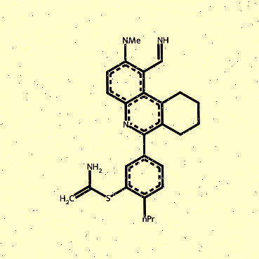 C=C(N)Sc1cc(-c2nc3ccc(NC)c(C=N)c3c3c2CCCC3)ccc1CCC